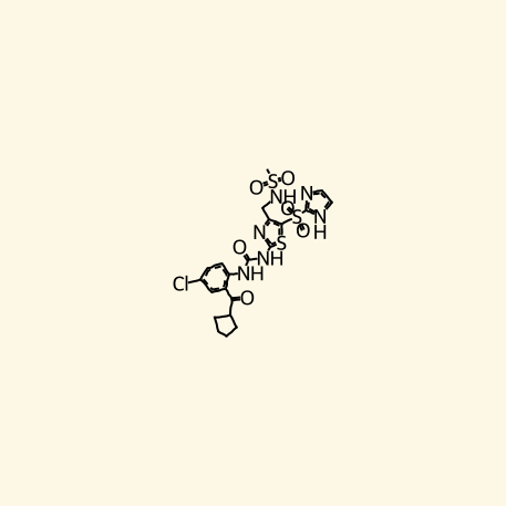 CS(=O)(=O)NCc1nc(NC(=O)Nc2ccc(Cl)cc2C(=O)C2CCCC2)sc1S(=O)(=O)c1ncc[nH]1